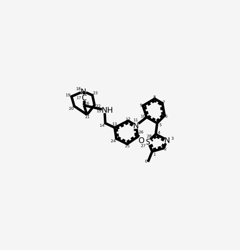 Cc1cnc(-c2ccccc2-n2cc(CNC3CN4CCC3CC4)ccc2=O)s1